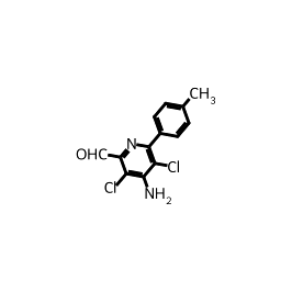 Cc1ccc(-c2nc(C=O)c(Cl)c(N)c2Cl)cc1